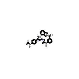 C=C(/N=C\C=C(/N)c1ccc(NC(C)=O)cc1)Nc1cccc(C(=O)N2Cc3ccccc3C2)c1